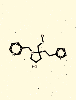 CCOCC1(CCc2cccs2)CCCN1Cc1cccnc1.Cl